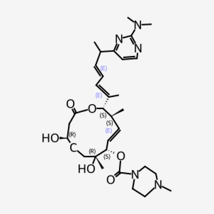 C/C(=C\C=C\C(C)c1ccnc(N(C)C)n1)[C@H]1OC(=O)C[C@H](O)CC[C@@](C)(O)[C@@H](OC(=O)N2CCN(C)CC2)/C=C/[C@@H]1C